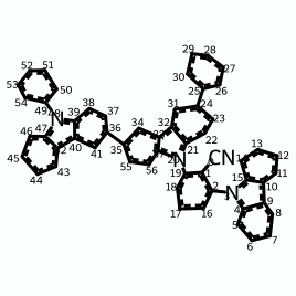 N#Cc1c(-n2c3ccccc3c3ccccc32)cccc1-n1c2ccc(-c3ccccc3)cc2c2cc(-c3ccc4c(c3)c3ccccc3n4-c3ccccc3)ccc21